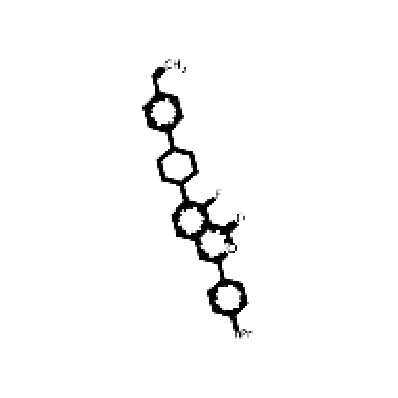 C=Cc1ccc(C2CCC(c3ccc4cc(-c5ccc(CCC)cc5)oc(=O)c4c3F)CC2)cc1